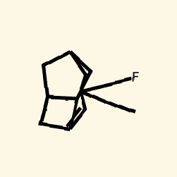 CC1(F)C=C2CC3CC(CC23)C1